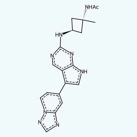 CC(=O)N[C@]1(C)C[C@@H](Nc2ncc3c(-c4ccn5ncnc5c4)c[nH]c3n2)C1